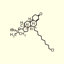 CC(C)(C)[Si](C)(C)OC1CC[C@H]2[C@@H]3[C@H](CCCCCCCCCCl)CC4=CC(=O)CC[C@@H]4[C@H]3CC[C@]12C